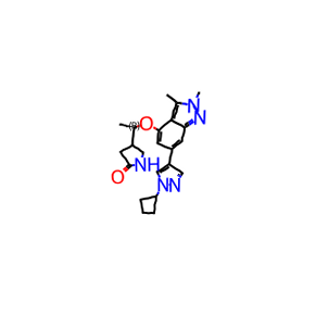 Cc1c2c(O[C@H](C)C3CNC(=O)C3)cc(-c3cnn(C4CCC4)c3)cc2nn1C